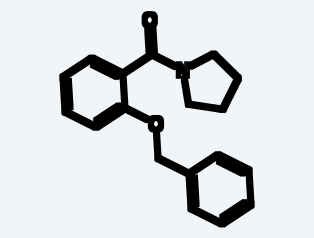 O=C(c1ccccc1OCc1ccccc1)N1CCCC1